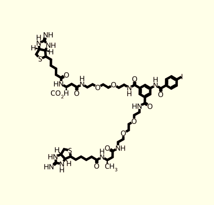 C[C@H](CC(=O)NCCOCCOCCNC(=O)c1cc(NC(=O)c2ccc(I)cc2)cc(C(=O)NCCOCCOCCNC(=O)C[C@H](NC(=O)CCCCC2SC[C@@H]3NC(=N)N[C@H]23)C(=O)O)c1)NC(=O)CCCCC1SC[C@@H]2NC(=N)N[C@H]12